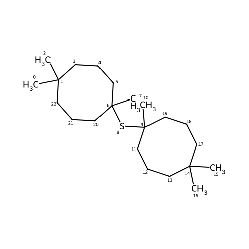 CC1(C)CCCC(C)(SC2(C)CCCC(C)(C)CCC2)CCC1